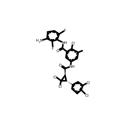 Cc1cc(NC(=O)[C@H]2[C@H](c3ccc(Cl)c(Cl)c3)C2(Cl)Cl)cc(C(=O)Nc2c(F)ccc(N)c2F)c1Cl